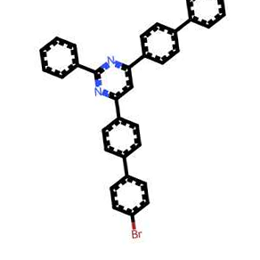 Brc1ccc(-c2ccc(-c3cc(-c4ccc(-c5ccccc5)cc4)nc(-c4ccccc4)n3)cc2)cc1